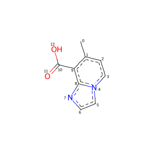 Cc1ccn2ccnc2c1C(=O)O